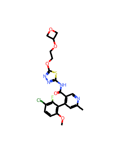 COc1ccc(Cl)c(F)c1-c1cc(C)ncc1C(=O)Nc1nnc(OCCOC2COC2)s1